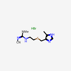 Br.CN/C(=N/C#N)NCCSCc1nc[nH]c1C